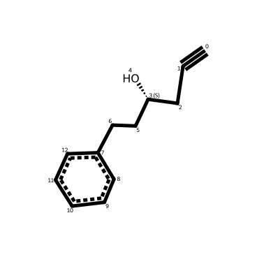 C#CC[C@@H](O)CCc1ccccc1